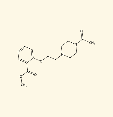 COC(=O)c1ccccc1OCCN1CCN(C(C)=O)CC1